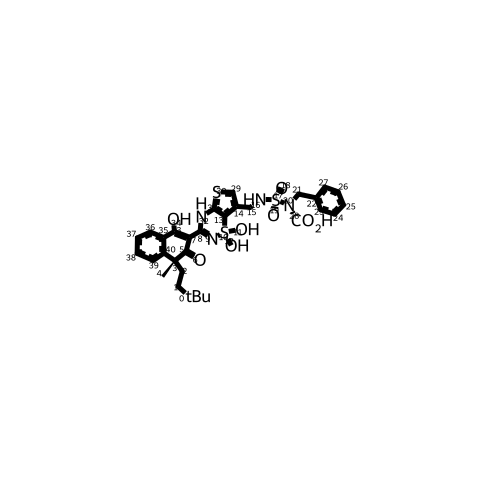 CC(C)(C)CC[C@@]1(C)C(=O)C(C2=NS(O)(O)c3c(CNS(=O)(=O)N(Cc4ccccc4)C(=O)O)csc3N2)=C(O)c2ccccc21